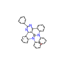 c1ccc(-c2nc3c4c(n2)-c2ccccc2N(c2ccccc2)B4N(c2ccccc2)c2ccccc2-3)cc1